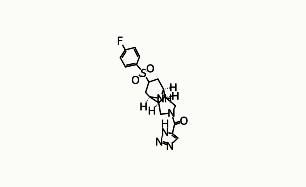 O=C(c1cnn[nH]1)N1C[C@@H]2[C@H](C1)[C@@H]1CC(S(=O)(=O)c3ccc(F)cc3)C[C@H]2N1